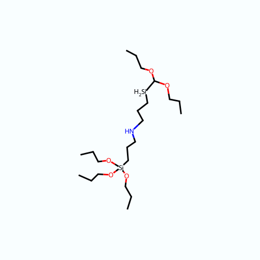 CCCOC(OCCC)[SiH2]CCCNCCC[Si](OCCC)(OCCC)OCCC